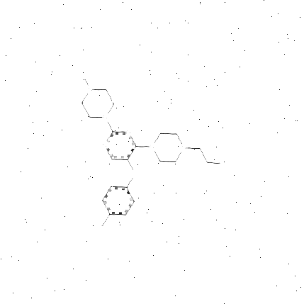 CN1CCN(c2ncc(Oc3ccc(Cl)cc3)c(N3CCN(CCO)CC3)n2)CC1